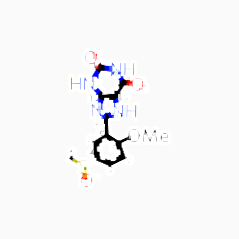 COc1ccc([S+](C)[O-])cc1-c1nc2[nH]c(=O)[nH]c(=O)c2[nH]1